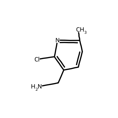 Cc1ccc(CN)c(Cl)n1